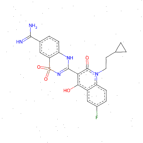 N=C(N)c1ccc2c(c1)S(=O)(=O)N=C(c1c(O)c3cc(F)ccc3n(CCC3CC3)c1=O)N2